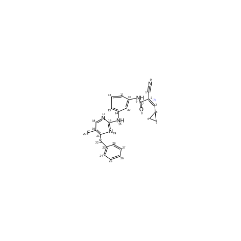 N#C/C(=C/C1CC1)C(=O)Nc1cccc(Nc2ncc(F)c(Sc3ccccc3)n2)c1